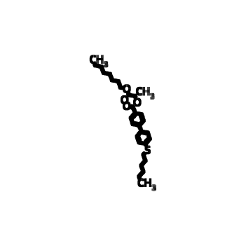 CCCCCCCCOC(=O)[C@H](C)OC(=O)c1ccc(-c2ccc(SCCCCCC)cc2)cc1